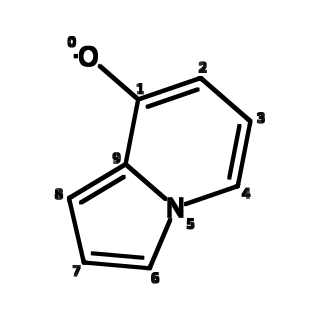 [O]c1cccn2cccc12